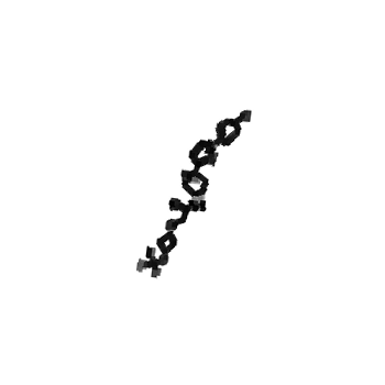 O=C(CO[C@H]1C[C@@H](OC(F)(F)F)C1)N[C@H]1CC[C@H](c2ccn(-c3ccc(Cl)cc3)n2)OC1